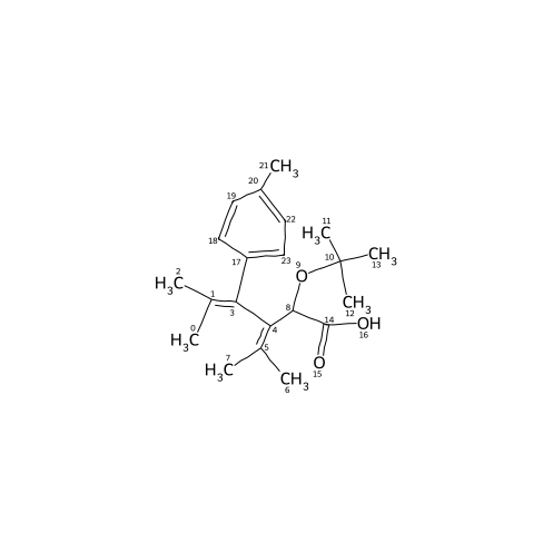 CC(C)=C(C(=C(C)C)C(OC(C)(C)C)C(=O)O)c1ccc(C)cc1